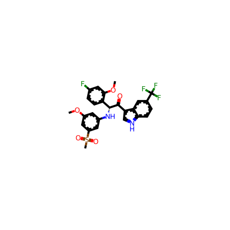 COc1cc(N[C@@H](C(=O)c2c[nH]c3ccc(C(F)(F)F)cc23)c2ccc(F)cc2OC)cc(S(C)(=O)=O)c1